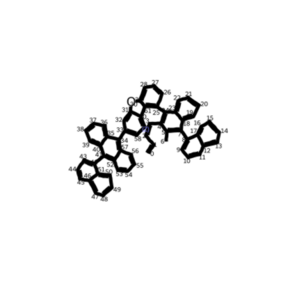 C=C/C=C\c1c(C)c(-c2cccc3ccccc23)c2ccccc2c1-c1cccc2oc3cc(-c4c5ccccc5c(-c5cccc6ccccc56)c5ccccc45)ccc3c12